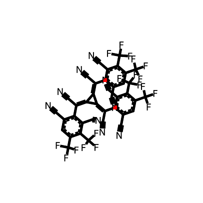 N#CC(=C1C(=C(C#N)c2c(C#N)cc(C(F)(F)F)c(C(F)(F)F)c2C#N)C1=C(C#N)c1c(C#N)cc(C(F)(F)F)c(C(F)(F)F)c1C#N)c1c(C#N)cc(C(F)(F)F)c(C(F)(F)F)c1C#N